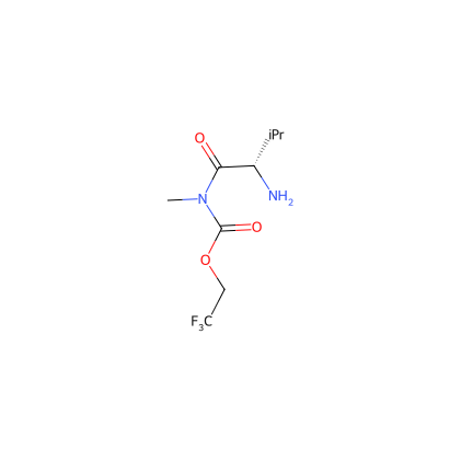 CC(C)[C@H](N)C(=O)N(C)C(=O)OCC(F)(F)F